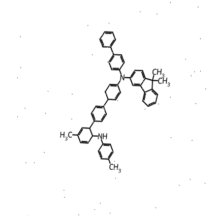 CC1=CC(c2ccc(C3C=CC(N(c4ccc(-c5ccccc5)cc4)c4ccc5c(c4)-c4ccccc4C5(C)C)=CC3)cc2)C(Nc2ccc(C)cc2)C=C1